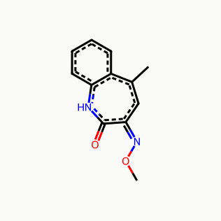 CO/N=c1/cc(C)c2ccccc2[nH]c1=O